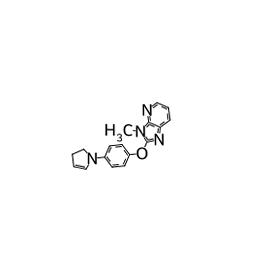 Cn1c(Oc2ccc(N3C=CCC3)cc2)nc2cccnc21